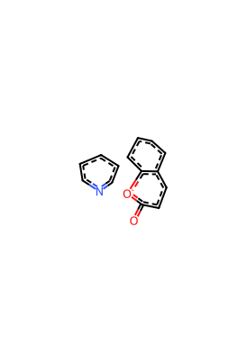 O=c1ccc2ccccc2o1.c1ccncc1